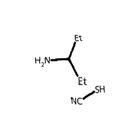 CCC(N)CC.N#CS